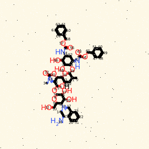 CC1C[C@@H]2OC(O[C@H]3OC(CO)[C@@H](N(CCN)Cc4ccccc4)[C@H](O)C3O)C3C(OC(=O)N3C)C2O[C@@H]1O[C@@H]1C(NC(=O)OCc2ccccc2)C[C@@H](NC(=O)OCc2ccccc2)C(O)[C@H]1O